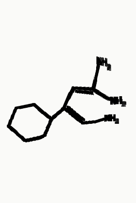 N/C=C(\C=C(N)N)C1CCCCC1